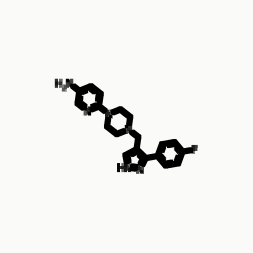 Nc1ccc(N2CCN(Cc3c[nH]nc3-c3ccc(F)cc3)CC2)nc1